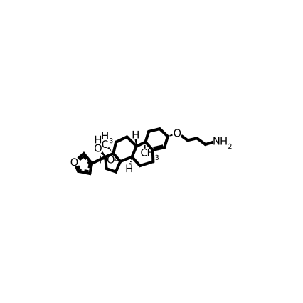 C[C@]12CC[C@H]3[C@@H](CCC4=C[C@@H](OCCCN)CC[C@@]43C)[C@@]1(O)CC[C@]2(O)c1ccoc1